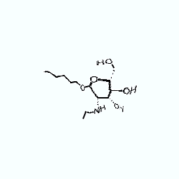 CCCCCOC1O[C@H](CO)[C@@H](O)[C@H](O)[C@@H]1NCC